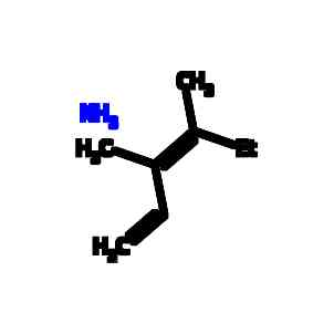 C=CC(C)=C(C)CC.N